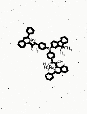 C=C(C1=CC=C(N(c2ccc(-c3nn4c(-c5ccccc5)cc5ccccc5c4c3C)cc2)c2ccc3c(c2)C(C)(C)c2ccccc2-3)CC1)/C(C)=C1/c2ccccc2C=C(C2=CCCC=C2)N1N